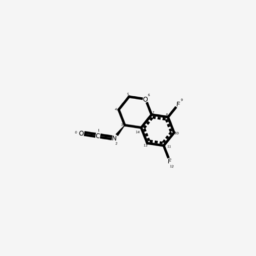 O=C=N[C@H]1CCOc2c(F)cc(F)cc21